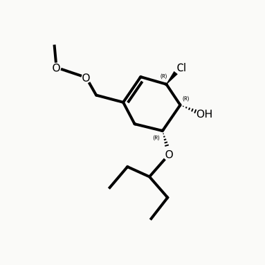 CCC(CC)O[C@@H]1CC(COOC)=C[C@@H](Cl)[C@@H]1O